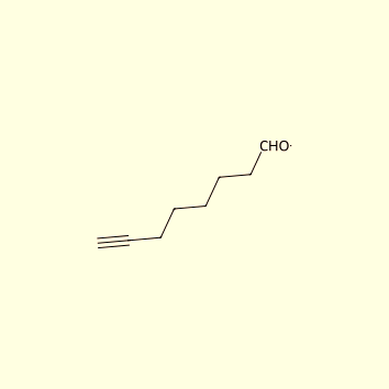 C#CCCCCC[C]=O